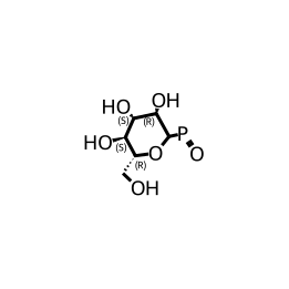 O=PC1O[C@H](CO)[C@@H](O)[C@H](O)[C@H]1O